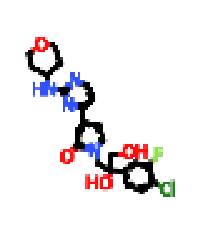 O=c1cc(-c2ccnc(NC3CCOCC3)n2)ccn1CC(O)(CO)c1ccc(Cl)c(F)c1